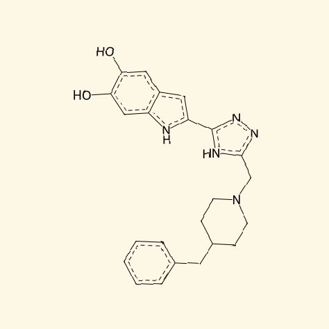 Oc1cc2cc(-c3nnc(CN4CCC(Cc5ccccc5)CC4)[nH]3)[nH]c2cc1O